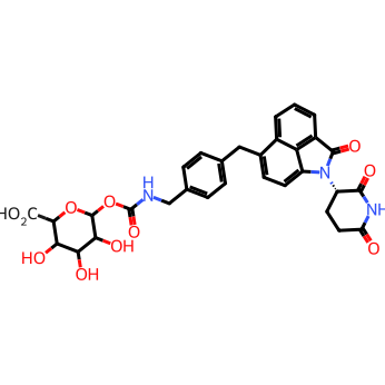 O=C1CC[C@H](N2C(=O)c3cccc4c(Cc5ccc(CNC(=O)OC6OC(C(=O)O)C(O)C(O)C6O)cc5)ccc2c34)C(=O)N1